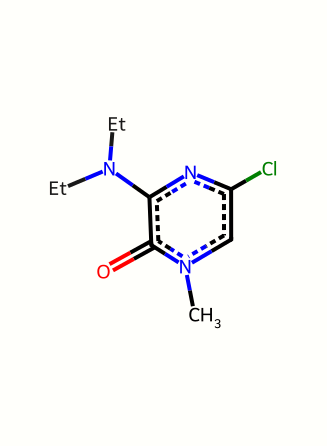 CCN(CC)c1nc(Cl)cn(C)c1=O